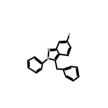 Fc1ccc2c(Cc3ccccc3)n(-c3ccccc3)nc2c1